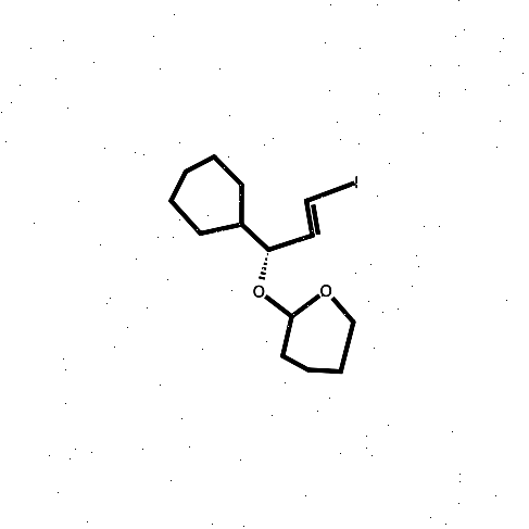 I/C=C/[C@H](OC1CCCCO1)C1CCCCC1